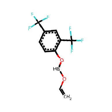 C=COBOc1ccc(C(F)(F)F)cc1C(F)(F)F